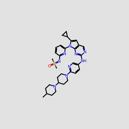 CC1CCN(C2CCN(c3ccc(Nc4ncc5cc(C6CC6)n(-c6cccc(N=S(C)(C)=O)n6)c5n4)cn3)CC2)CC1